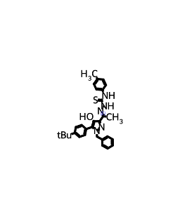 C/C(=N\NC(=S)Nc1ccc(C)cc1)c1nn(Cc2ccccc2)c(-c2ccc(C(C)(C)C)cc2)c1O